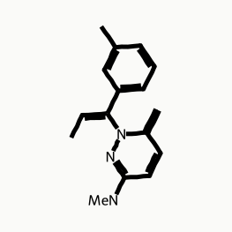 C=C1C=CC(NC)=NN1/C(=C\C)c1cccc(C)c1